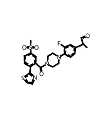 CC(C=O)c1ccc(N2CCN(C(=O)c3cc(S(C)(=O)=O)ccc3-c3nccs3)CC2)c(F)c1